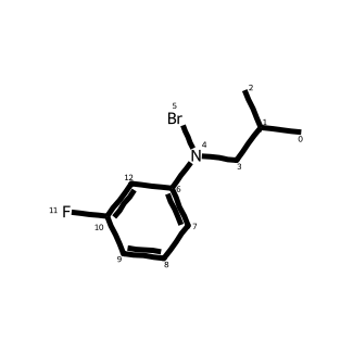 C[C](C)CN(Br)c1cccc(F)c1